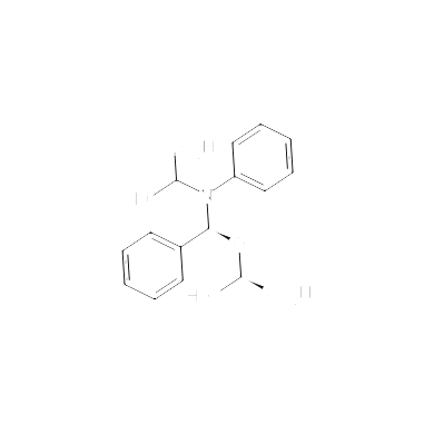 CCC(C(=O)O)N(c1ccccc1)[C@@H](O[C@H](C)C(=O)O)c1ccccc1